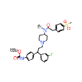 CCN(C(=O)Cc1ccc(S(C)(=O)=O)cc1)C1CCN(CCC(c2ccc(NC(=O)OC(C)(C)C)cc2)c2cccc(F)c2)CC1